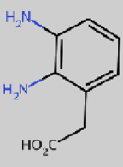 Nc1cccc(CC(=O)O)c1N